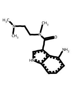 CN(C)CCN(C)C(=O)c1c[nH]c2cccc(N)c12